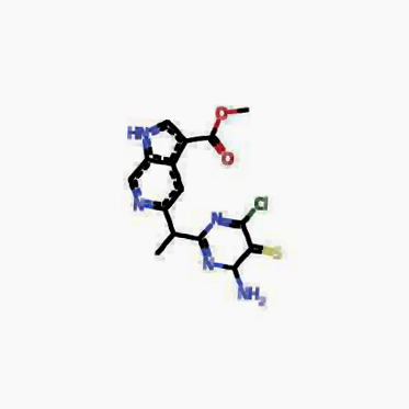 COC(=O)c1c[nH]c2cnc(C(C)C3=NC(N)C(=S)C(Cl)=N3)cc12